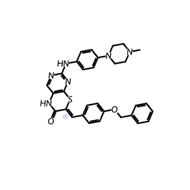 CN1CCN(c2ccc(Nc3ncc4c(n3)S/C(=C\c3ccc(OCc5ccccc5)cc3)C(=O)N4)cc2)CC1